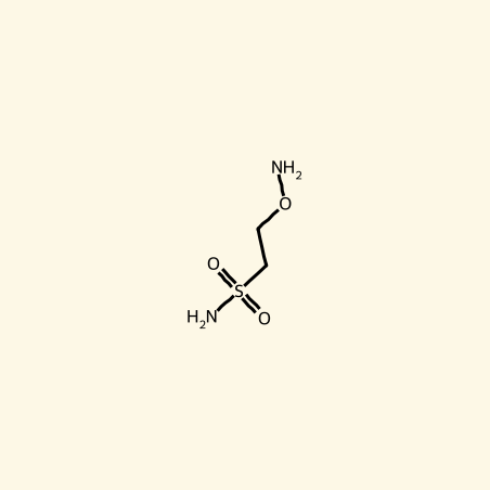 NOCCS(N)(=O)=O